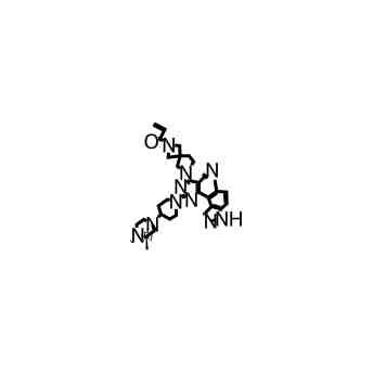 C=CC(=O)N1CC2(CCN(c3nc(N4CCC(N5CCN(C)[C@H](C)C5)CC4)nc(-c4c(C)ccc5[nH]ncc45)c3C#N)C2)C1